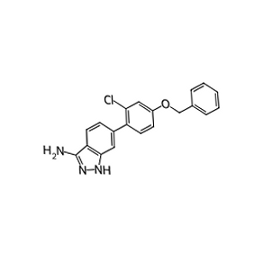 Nc1n[nH]c2cc(-c3ccc(OCc4ccccc4)cc3Cl)ccc12